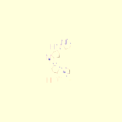 Cc1cc(C(C)F)nn1-c1nc(-n2cnc3cc(Nc4cccnn4)c(F)cc32)ccc1[C@H](C)O